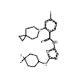 O=C(Nc1nnc(OC2CCC(F)(F)CC2)s1)c1ccc(I)cc1N1CCC2(CC1)CC2